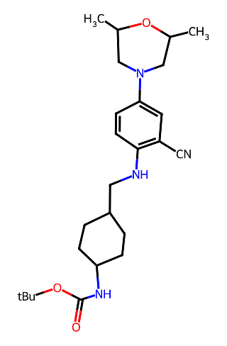 CC1CN(c2ccc(NCC3CCC(NC(=O)OC(C)(C)C)CC3)c(C#N)c2)CC(C)O1